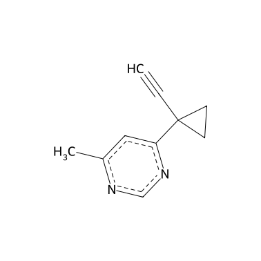 C#CC1(c2cc(C)ncn2)CC1